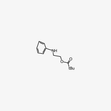 CC(C)(C)C(=O)OCCNc1ccccc1